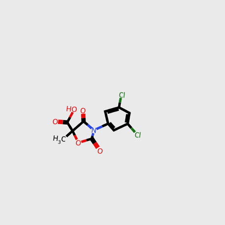 CC1(C(=O)O)OC(=O)N(c2cc(Cl)cc(Cl)c2)C1=O